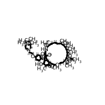 CO[C@H]1/C=C/O[C@@]2(C)Oc3c(C)c(O)c4c(=O)c(c5oc6cc(OCCN7CC[N+](C)(C(C)(C)C)CC7)ccc6nc-5c4c3C2=O)NC(=O)/C(C)=C\C=C\[C@H](C)[C@H](O)[C@@H](C)[C@@H](C)[C@@H](C)[C@H](OC(C)=O)[C@@H]1C